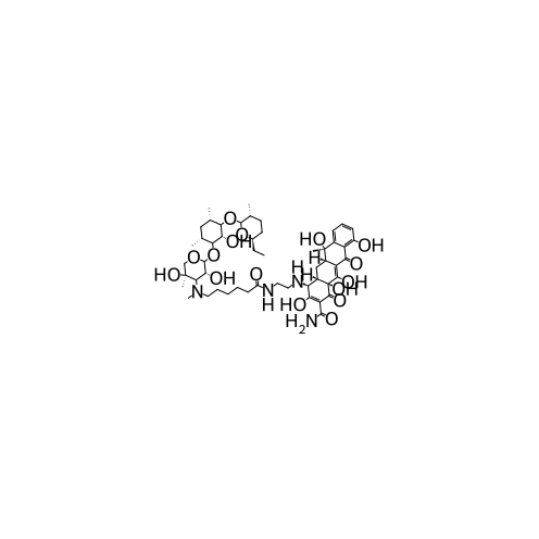 CC[C@@H]1CC[C@@H](C)C(OC2[C@H](O)C(OC3OC[C@](C)(O)C(N(C)CCCCCC(=O)NCCN[C@@H]4C(O)=C(C(N)=O)C(=O)[C@@]5(O)C(O)=C6C(=O)c7c(O)cccc7[C@@](C)(O)[C@H]6C[C@@H]45)[C@H]3O)[C@H](C)C[C@@H]2C)O1